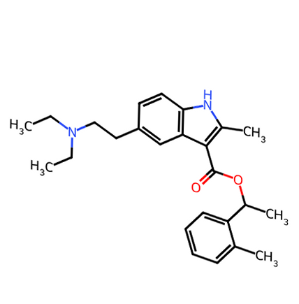 CCN(CC)CCc1ccc2[nH]c(C)c(C(=O)OC(C)c3ccccc3C)c2c1